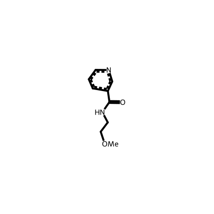 COCCNC(=O)c1cccnc1